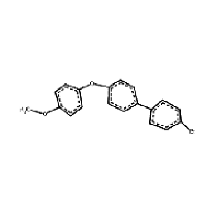 COc1ccc(Oc2ccc(-c3ccc(Br)cc3)cc2)cc1